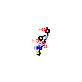 Cc1ccc(CN(CCCNC(=O)c2cc(-c3cccs3)[nH]n2)Cc2ccc(O)c(O)c2)cc1O